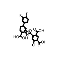 O=C(O)c1cc(C(=O)O)c(C(=O)Nc2cc(-c3ccc(F)c(F)c3)ccc2C(O)O)cc1Cl